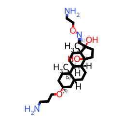 C[C@]12CC[C@H](OCCCN)C[C@H]1CC[C@@H]1[C@@H]2CC[C@]2(C)[C@](O)(/C=N/OCCN)CC[C@]12O